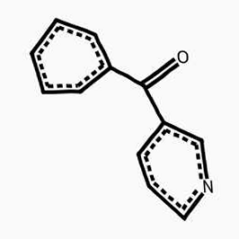 O=C(c1ccccc1)c1cccnc1